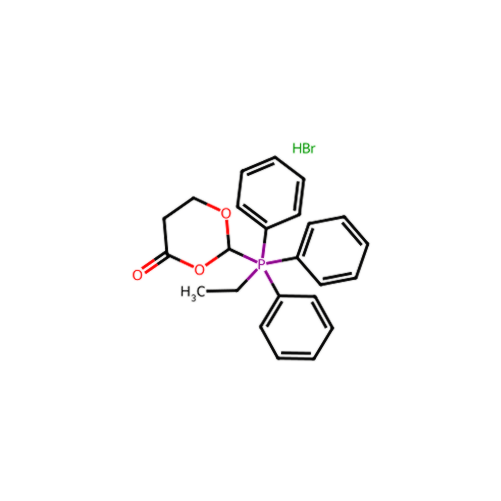 Br.CCP(c1ccccc1)(c1ccccc1)(c1ccccc1)C1OCCC(=O)O1